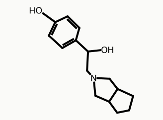 Oc1ccc(C(O)CN2CC3CCCC3C2)cc1